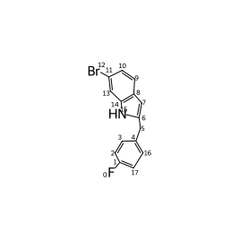 Fc1ccc(Cc2cc3ccc(Br)cc3[nH]2)cc1